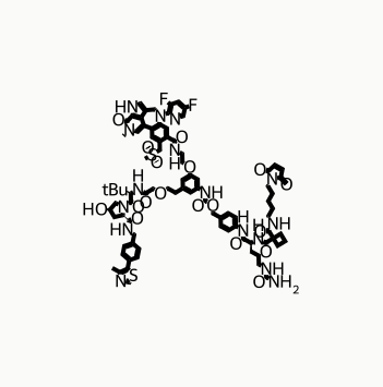 Cc1ncsc1-c1ccc(CNC(=O)[C@@H]2C[C@@H](O)CN2C(=O)[C@@H](NC(=O)COCCc2cc(NC(=O)OCc3ccc(NC(=O)[C@H](CCCNC(N)=O)NC(=O)C4(C(=O)NCCCCCN5C(=O)C=CC5=O)CCC4)cc3)cc(OCCNC(=O)c3cc4c(cc3CS(C)(=O)=O)-c3cn(C)c(=O)c5[nH]cc(c35)CN4c3ncc(F)cc3F)c2)C(C)(C)C)cc1